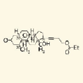 CCC(=O)OCCC#C[C@]1(O)CC[C@H]2[C@@H]3CC[C@H]4CC(=O)C[C@H](C)[C@]4(C)[C@H]3CC[C@@]21C